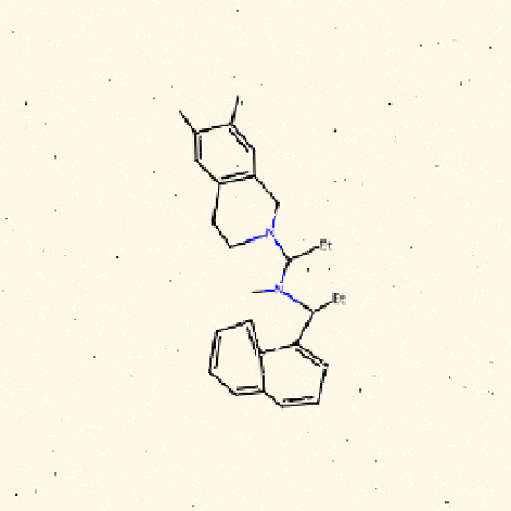 CCC(c1cccc2ccccc12)N(C)C(CC)N1CCc2cc(C)c(C)cc2C1